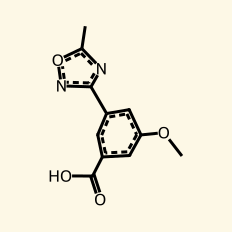 COc1cc(C(=O)O)cc(-c2noc(C)n2)c1